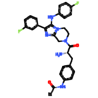 CCC(=O)Nc1ccc(C[C@H](N)C(=O)N2CCn3c(nc(-c4cccc(F)c4)c3Nc3ccc(F)cc3)C2)cc1